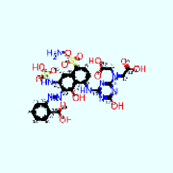 NOS(=O)(=O)c1ccc(Nc2nc(O)nc(N(CC(=O)O)CC(=O)O)n2)c2c(O)c(N=Nc3ccccc3C(=O)O)c(NS(=O)(=O)O)cc12